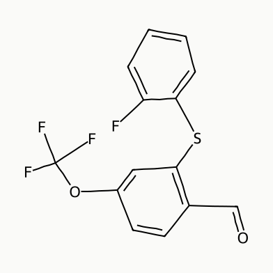 O=Cc1ccc(OC(F)(F)F)cc1Sc1ccccc1F